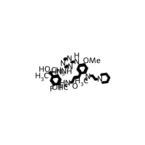 COc1cc(N(C)CCN2CCCCC2)c(C=CC(=O)NC=O)cc1Nc1ncnc(NNc2cc(F)c(F)cc2C(C)(C)O)n1